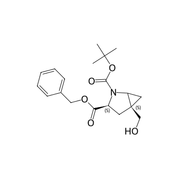 CC(C)(C)OC(=O)N1C2C[C@]2(CO)C[C@H]1C(=O)OCc1ccccc1